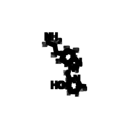 Cc1ccc(O)c(Cn2cnc3ccc(CCCN)cc32)n1